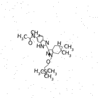 CC(=O)N(C)c1ccc2nc(-c3nn(COCC[Si](C)(C)C)c4c3C[C@@H]3[C@H](C)[C@]3(C)C4)[nH]c2c1